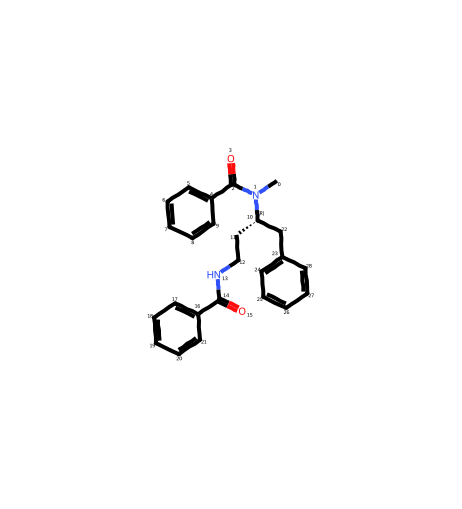 CN(C(=O)c1ccccc1)[C@@H](CCNC(=O)c1ccccc1)Cc1ccccc1